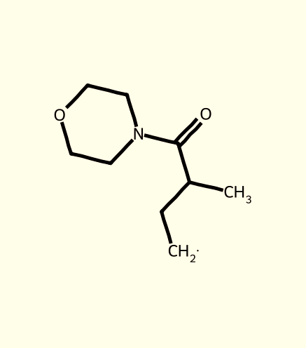 [CH2]CC(C)C(=O)N1CCOCC1